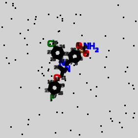 NS(=O)(=O)c1ccc(-c2nc(COc3ccc(F)cc3)cn2-c2ccc(Cl)cc2)cc1